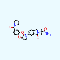 CC(C)(C(N)=O)N1Cc2ccc(N3CC[C@@H](Oc4ccc(C(=O)N5CCCC5)cc4)C3=O)cc2C1=O